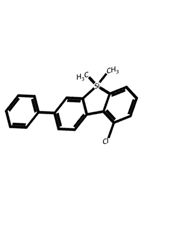 C[Si]1(C)c2cc(-c3ccccc3)ccc2-c2c(Cl)cccc21